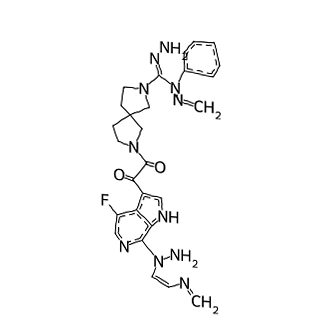 C=N/C=C\N(N)c1ncc(F)c2c(C(=O)C(=O)N3CCC4(CCN(/C(=N/N)N(N=C)c5ccccc5)C4)C3)c[nH]c12